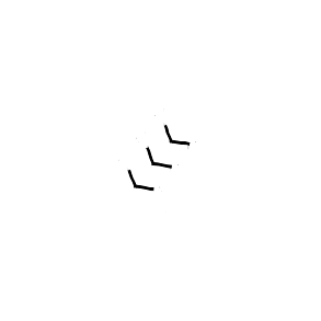 CC(=O)CC(C)=O.CC(=O)CC(C)=O.CC(=O)CC(C)=O.[Ir]